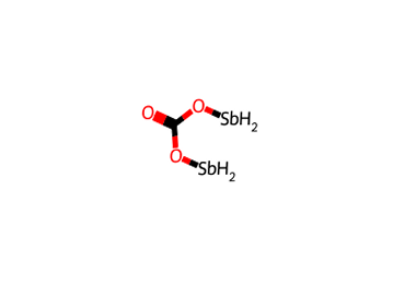 O=C([O][SbH2])[O][SbH2]